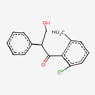 O=C(O)c1cccc(Cl)c1C(=O)C(CO)c1ccccc1